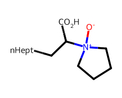 CCCCCCCCC(C(=O)O)[N+]1([O-])CCCC1